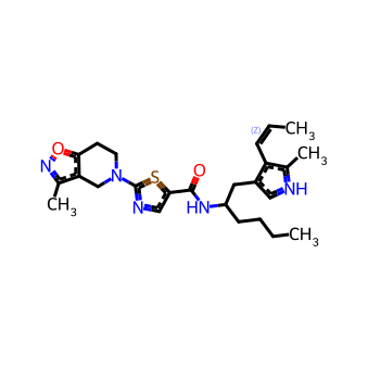 C/C=C\c1c(CC(CCCC)NC(=O)c2cnc(N3CCc4onc(C)c4C3)s2)c[nH]c1C